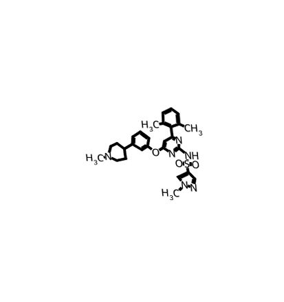 Cc1cccc(C)c1-c1cc(Oc2cccc(C3CCN(C)CC3)c2)nc(NS(=O)(=O)c2cnn(C)c2)n1